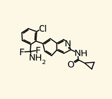 NC(F)(F)c1cccc(Cl)c1-c1ccc2cc(NC(=O)C3CC3)ncc2c1